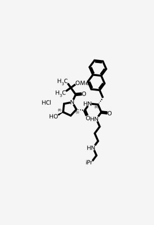 COC(C)(C)C(=O)N1C[C@H](O)C[C@H]1C(=O)N[C@H](Cc1ccc2ccccc2c1)C(=O)NCCCNCC(C)C.Cl